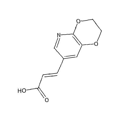 O=C(O)C=Cc1cnc2c(c1)OCCO2